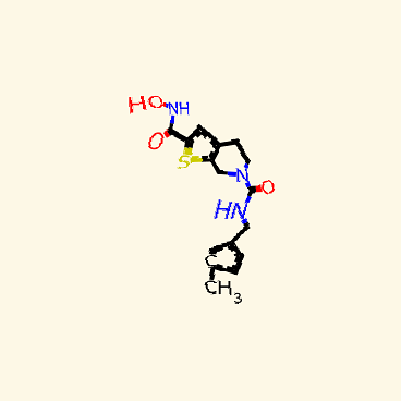 Cc1ccc(CNC(=O)N2CCc3cc(C(=O)NO)sc3C2)cc1